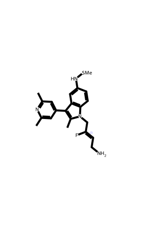 CSNc1ccc2c(c1)c(-c1cc(C)nc(C)c1)c(C)n2C/C(F)=C/CN